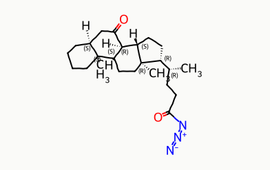 C[C@H](CCC(=O)N=[N+]=[N-])[C@H]1CC[C@H]2[C@@H]3C(=O)C[C@@H]4CCCC[C@]4(C)[C@H]3CC[C@]12C